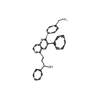 NCc1ccc(-c2nc3ccnc(CCC(O)c4ccccc4)c3cc2-c2ccccc2)cc1